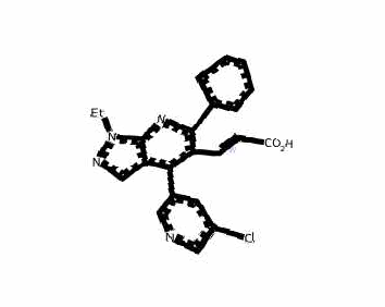 CCn1ncc2c(-c3cncc(Cl)c3)c(/C=C/C(=O)O)c(-c3ccccc3)nc21